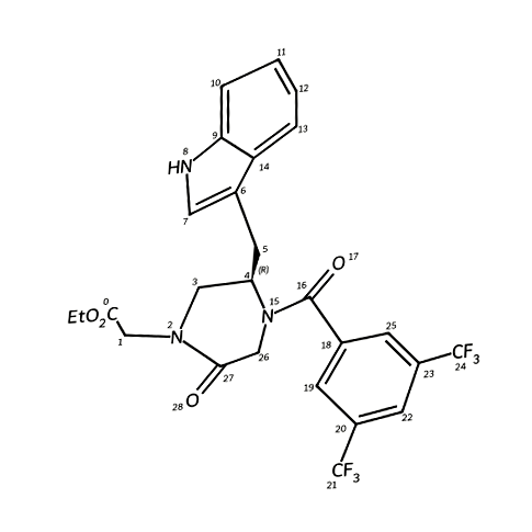 CCOC(=O)CN1C[C@@H](Cc2c[nH]c3ccccc23)N(C(=O)c2cc(C(F)(F)F)cc(C(F)(F)F)c2)CC1=O